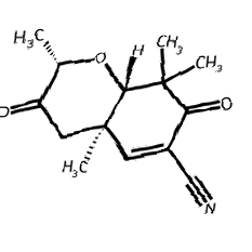 C[C@@H]1O[C@@H]2C(C)(C)C(=O)C(C#N)=C[C@@]2(C)CC1=O